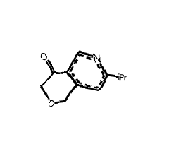 CC(C)c1cc2c(cn1)C(=O)COC2